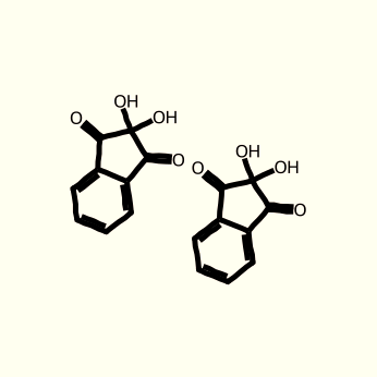 O=C1c2ccccc2C(=O)C1(O)O.O=C1c2ccccc2C(=O)C1(O)O